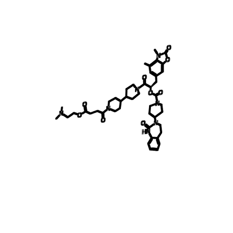 Cc1cc(C[C@@H](OC(=O)N2CCC(N3CCc4ccccc4NC3=O)CC2)C(=O)N2CCC(C3CCN(C(=O)CCC(=O)OCCN(C)C)CC3)CC2)cc2oc(=O)n(C)c12